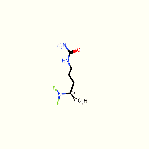 NC(=O)NCCC[C@@H](C(=O)O)N(F)F